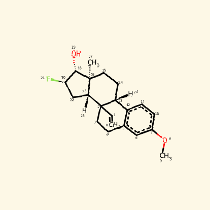 C=CC12CCc3cc(OC)ccc3[C@H]1CC[C@]1(C)[C@@H](O)[C@H](F)C[C@@H]21